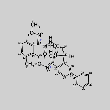 CNC(=O)/C(=N/OC)c1cccc(C)c1CO/N=C(\C)c1ccc(-c2ccccc2)cc1C(F)(I)I